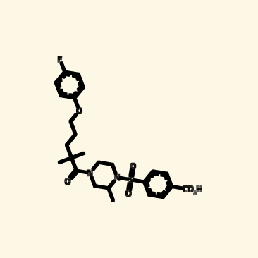 CC1CN(C(=O)C(C)(C)CCCOc2ccc(F)cc2)CCN1S(=O)(=O)c1ccc(C(=O)O)cc1